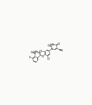 N#Cc1cn(-c2cc(Cl)c(Oc3n[nH]c(=O)c4c(F)cccc34)c(Cl)c2)c(=O)[nH]c1=O